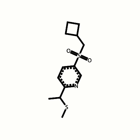 CSC(C)c1ccc(S(=O)(=O)CC2CCC2)cn1